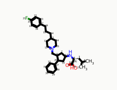 CC(C)C[C@@H](NC1CC(CN2CCC(CCCc3ccc(F)cc3)CC2)C(c2ccccc2)C1)C(=O)O